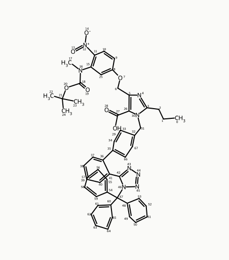 CCCc1nc(COc2ccc([N+](=O)[O-])c(N(C)C(=O)OC(C)(C)C)c2)c(C(=O)O)n1Cc1ccc(-c2ccccc2-c2nnnn2C(c2ccccc2)(c2ccccc2)c2ccccc2)cc1